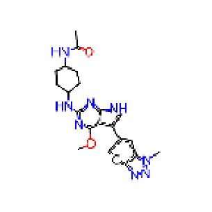 COc1nc(NC2CCC(NC(C)=O)CC2)nc2[nH]cc(-c3ccc4nnn(C)c4c3)c12